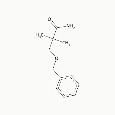 CC(C)(COCc1ccccc1)C(N)=O